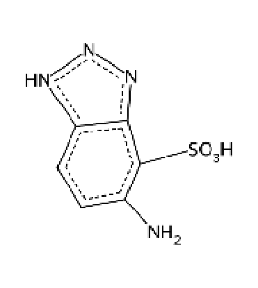 Nc1ccc2[nH]nnc2c1S(=O)(=O)O